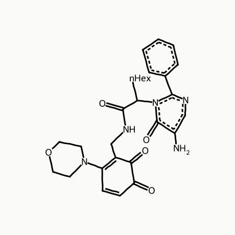 CCCCCCC(C(=O)NCC1=C(N2CCOCC2)C=CC(=O)C1=O)n1c(-c2ccccc2)ncc(N)c1=O